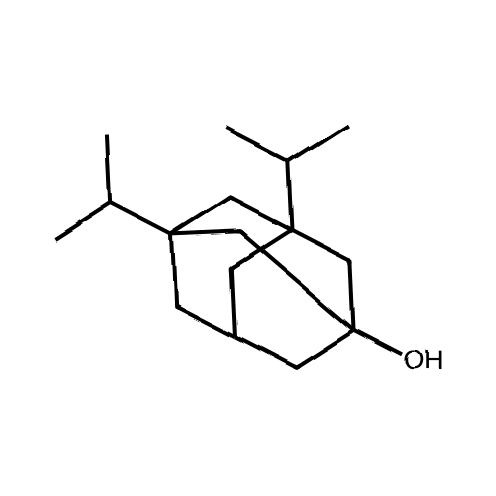 CC(C)C12CC3CC(O)(C1)CC(C(C)C)(C3)C2